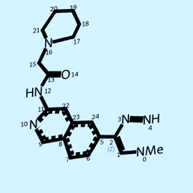 CN/C=C(\N=N)c1ccc2cnc(NC(=O)CN3CCCCC3)cc2c1